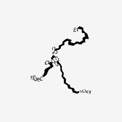 CC/C=C\C/C=C\C/C=C\C/C=C\C/C=C\CCCC(=O)OC[C@@H](COC(=O)CCCCCCCCCCCCC)OC(=O)CCCCCCCCC/C=C\CCCCCCCC